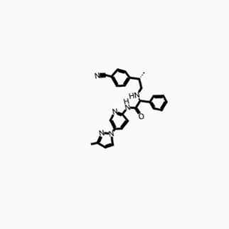 Cc1ccn(-c2ccc(NC(=O)[C@H](NC[C@@H](C)c3ccc(C#N)cc3)c3ccccc3)nc2)n1